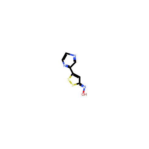 ON=c1cc(-c2cnccn2)ss1